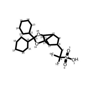 O=S(=O)(O)C(F)(F)CC1CC2CC1C1OC(C3CCCCC3)(C3CCCCC3)OC21